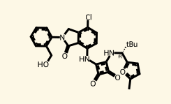 Cc1ccc([C@H](Nc2c(Nc3ccc(Cl)c4c3C(=O)N(c3ccccc3CO)C4)c(=O)c2=O)C(C)(C)C)o1